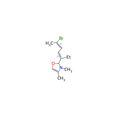 CC/C(=C\C=C(/C)Br)C1OC=C(C)N1C